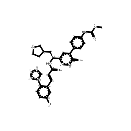 COC(=O)Nc1ccc(-c2cc([C@H](CC3CCNC3)NC(=O)/C=C/c3cc(Cl)ccc3-n3cnnn3)n[nH]c2=O)cc1